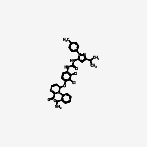 Cc1ccc(-n2nc(C(C)C)cc2NC(=O)Nc2ccc(OC3C=CN=C(C=O)N3c3ccccc3C(N)=O)c(Cl)c2Cl)cc1